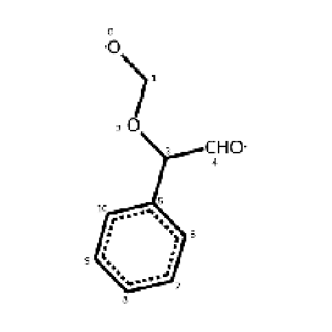 [O]COC([C]=O)c1ccccc1